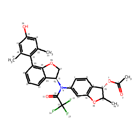 CC(=O)O[C@H]1c2ccc(N(C(=O)C(F)(F)F)[C@@H]3COc4c(-c5c(C)cc(O)cc5C)cccc43)cc2OC1C